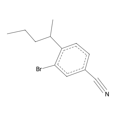 CCCC(C)c1ccc(C#N)cc1Br